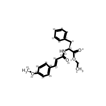 CCOC(=O)[C@H](Cc1ccccc1)NC(=O)/C=C/c1ccc(OC)cc1